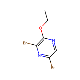 CCOc1ncc(Br)nc1Br